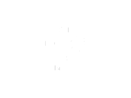 CC(C)c1ccccc1C=CBr